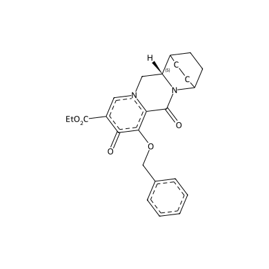 CCOC(=O)c1cn2c(c(OCc3ccccc3)c1=O)C(=O)N1C3CCC(CC3)[C@H]1C2